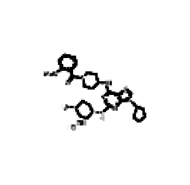 COc1ccccc1C(=O)N1CCC(Nc2nc(N[C@H]3CC[C@H](N)CC3)nc3c2ncn3C2CCCC2)CC1.Cl.Cl